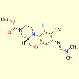 CN(C)/C=N/c1cc2c(c(F)c1C#N)N1CCN(C(=O)OC(C)(C)C)C[C@H]1CO2